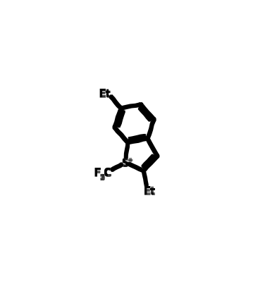 CCc1ccc2cc(CC)[s+](C(F)(F)F)c2c1